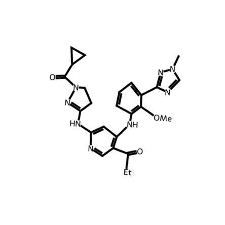 CCC(=O)c1cnc(NC2=NN(C(=O)C3CC3)CC2)cc1Nc1cccc(-c2ncn(C)n2)c1OC